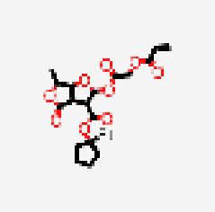 C=CC(=O)OCC(=O)OC1OC2C(C)OC(=O)C2C1C(=O)OC1(CC)CCCC1